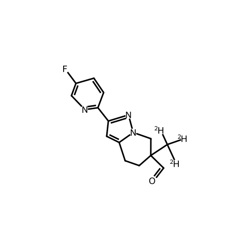 [2H]C([2H])([2H])C1(C=O)CCc2cc(-c3ccc(F)cn3)nn2C1